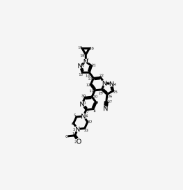 CC(=O)N1CCN(c2ccc(-c3cc(-c4cnn(C5CC5)c4)cn4ncc(C#N)c34)cn2)CC1